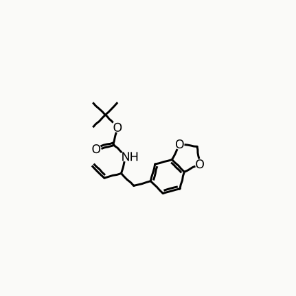 C=CC(Cc1ccc2c(c1)OCO2)NC(=O)OC(C)(C)C